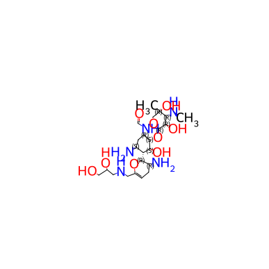 CN[C@@H]1[C@@H](O)[C@@H](O[C@H]2[C@H](NC=O)C[C@H](N)C([C@H]3OC(CNCC(O)CO)=CC[C@H]3N)[C@@H]2O)OC[C@]1(C)O